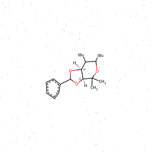 CC(C)(C)C1OC(C)(C)[C@H]2OC(c3ccccc3)O[C@H]2C1C(C)(C)C